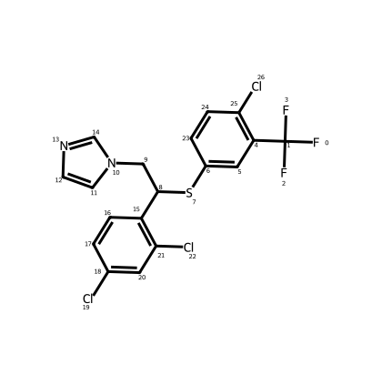 FC(F)(F)c1cc(SC(Cn2ccnc2)c2ccc(Cl)cc2Cl)ccc1Cl